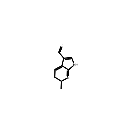 CC1CC=c2c(C=O)c[nH]c2=N1